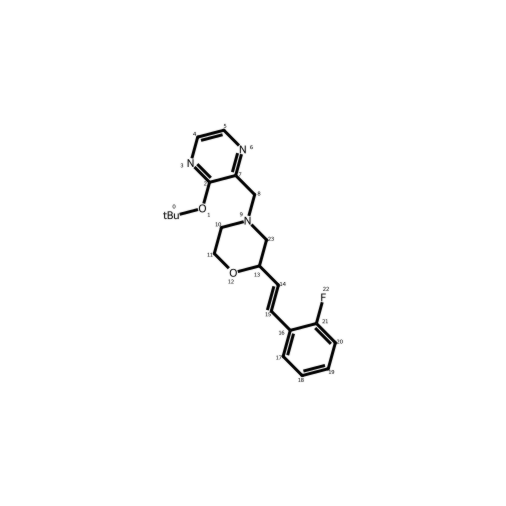 CC(C)(C)Oc1nccnc1CN1CCOC(/C=C/c2ccccc2F)C1